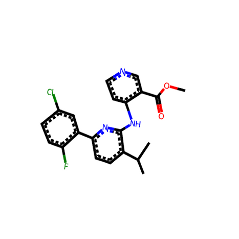 COC(=O)c1cnccc1Nc1nc(-c2cc(Cl)ccc2F)ccc1C(C)C